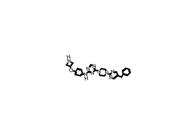 c1ccc(Cc2cnc(N3CCN(c4ncnc(Nc5ccc(OC6CNC6)cc5)n4)CC3)nc2)cc1